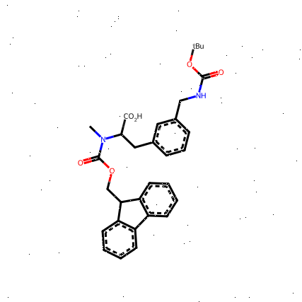 CN(C(=O)OCC1c2ccccc2-c2ccccc21)C(Cc1cccc(CNC(=O)OC(C)(C)C)c1)C(=O)O